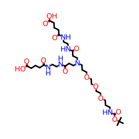 CC(C)(C)OC(=O)NCCCOCCOCCOCCCN(CCC(=O)NCCNC(=O)CCCC(=O)O)CCC(=O)NCCNC(=O)CCCC(=O)O